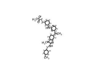 Cc1ccc(CNc2nc3cc(N(C)c4ccnc(Nc5cccc(CCS(C)(=O)=O)c5)n4)ccc3n2C)cc1